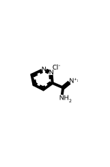 [Cl-].[N+]=C(N)c1cccnn1